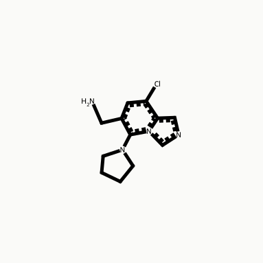 NCc1cc(Cl)c2cncn2c1N1CCCC1